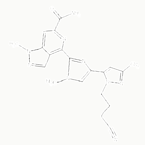 Cc1cc(-c2cn(C)c(-c3nc(C(N)=O)cc4c3cnn4C)n2)n(CCCC#N)n1